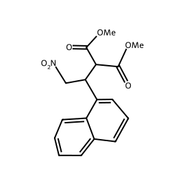 COC(=O)C(C(=O)OC)C(C[N+](=O)[O-])c1cccc2ccccc12